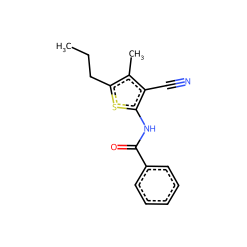 CCCc1sc(NC(=O)c2ccccc2)c(C#N)c1C